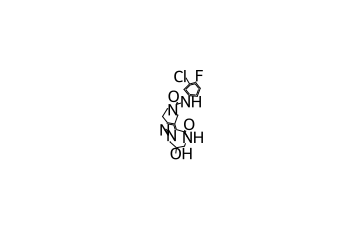 O=C1NCC(O)Cn2nc3c(c21)CN(C(=O)Nc1ccc(F)c(Cl)c1)CC3